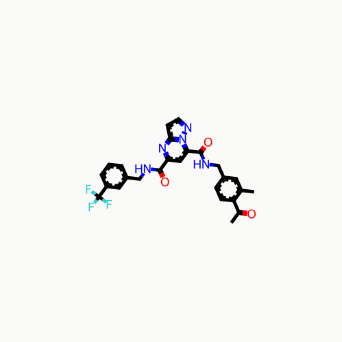 CC(=O)c1ccc(CNC(=O)c2cc(C(=O)NCc3cccc(C(F)(F)F)c3)nc3ccnn23)cc1C